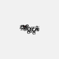 O=[N+]([O-])c1ccc(Oc2c(Cl)cc(S(=O)(=O)Nc3ccccc3Cl)cc2Cl)c(Cl)c1